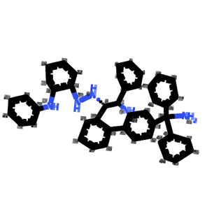 N[C@H](c1ccccc1)[C@@H](NNc1ccccc1Nc1ccccc1)c1ccccc1-c1ccc(C(N)(c2ccccc2)c2ccccc2)cc1